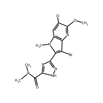 COc1nc2c(Br)c(-c3n[nH]c(C(=O)N(C)C)n3)n(C)c2cc1Cl